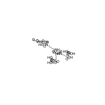 O=Cc1ccc(CNC(=O)C(O)C(O)C(=O)NCCCCCCC(=O)NC(CCC(=O)NCCCCC(C(=O)O)N(CC(=O)O)CC(=O)O)C(=O)NCCCCC(C(=O)O)N(CC(=O)O)CC(=O)O)cc1